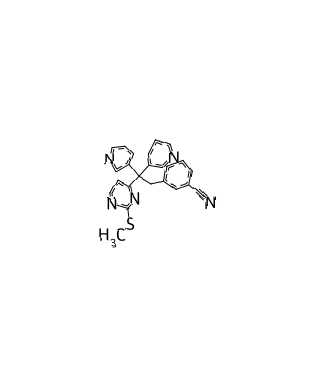 CSc1nccc(C(Cc2cccc(C#N)c2)(c2cccnc2)c2cccnc2)n1